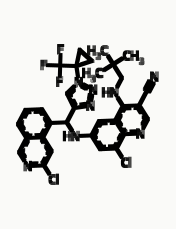 CC(C)(C)CNc1c(C#N)cnc2c(Cl)cc(NC(c3cn(C4(C(F)(F)F)CC4)nn3)c3cccc4cnc(Cl)cc34)cc12